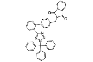 O=C1c2ccccc2C(=O)N1Cc1ccc(-c2ccccc2-c2nnn(C(c3ccccc3)(c3ccccc3)c3ccccc3)n2)cc1